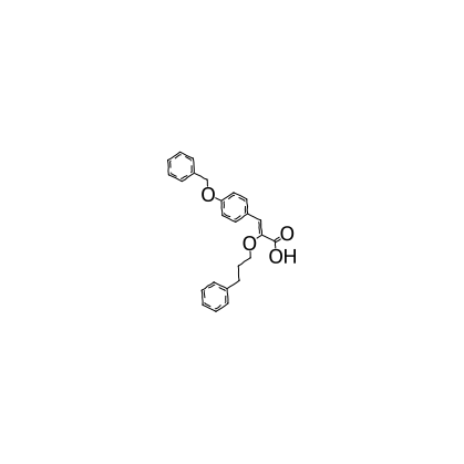 O=C(O)C(=Cc1ccc(OCc2ccccc2)cc1)OCCCc1ccccc1